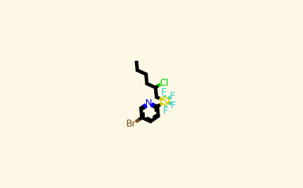 CCCCC(Cl)CS(F)(F)(F)(F)c1ccc(Br)cn1